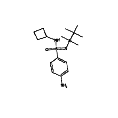 CC(C)(C)[Si](C)(C)N=[S@@](=O)(NC1CCC1)c1ccc(N)cc1